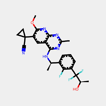 COc1nc2nc(C)nc(N[C@H](C)c3cccc(C(F)(F)[C@@H](C)O)c3F)c2cc1C1(C#N)CC1